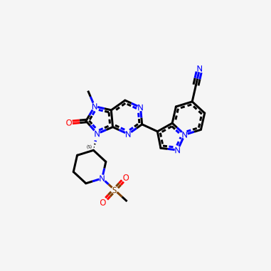 Cn1c(=O)n([C@H]2CCCN(S(C)(=O)=O)C2)c2nc(-c3cnn4ccc(C#N)cc34)ncc21